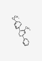 COc1ccc(-c2ccc(-c3ccccc3)cc2C)cc1